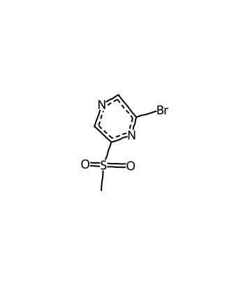 CS(=O)(=O)c1cncc(Br)n1